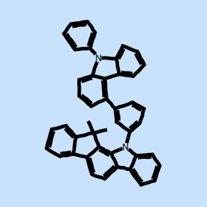 CC1(C)c2ccccc2-c2ccc3c4ccccc4n(-c4cccc(-c5cccc6c5c5ccccc5n6-c5ccccc5)c4)c3c21